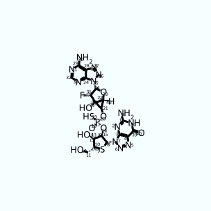 Nc1nc2c(nnn2[C@@H]2S[C@H](CO)[C@@H](O)[C@H]2OP(=O)(S)OC2[C@H]3O[C@@H](n4nnc5c(N)ncnc54)[C@@H](F)[C@@]23O)c(=O)[nH]1